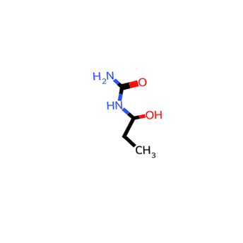 CCC(O)NC(N)=O